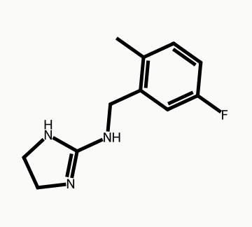 Cc1ccc(F)cc1CNC1=NCCN1